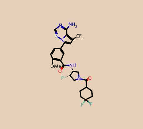 COc1ccc(-c2cc(C(F)(F)F)c3c(N)ncnn23)cc1C(=O)N[C@@H]1CN(C(=O)C2CCC(F)(F)CC2)C[C@@H]1F